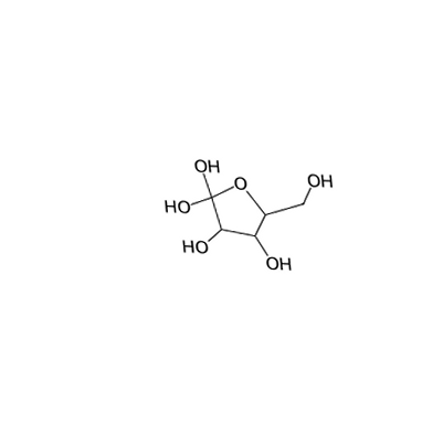 OCC1OC(O)(O)C(O)C1O